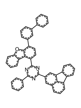 c1ccc(-c2cccc(-c3ccc(-c4nc(-c5ccccc5)nc(-c5cc6c7c(cccc7c5)-c5ccccc5-6)n4)c4c3oc3ccccc34)c2)cc1